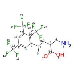 CC(CC(CN)C(=O)O)c1cc(C(F)(F)F)cc(C(F)(F)F)c1C(F)(F)F